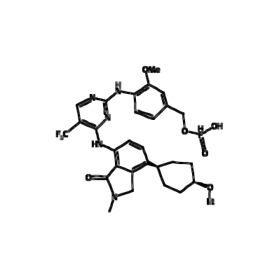 CCO[C@H]1CC[C@@H](c2ccc(Nc3nc(Nc4ccc(CO[PH](=O)O)cc4OC)ncc3C(F)(F)F)c3c2CN(C)C3=O)CC1